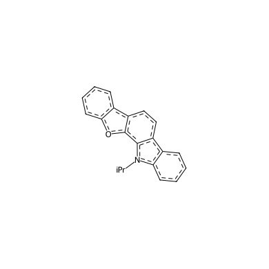 CC(C)n1c2ccccc2c2ccc3c4ccccc4oc3c21